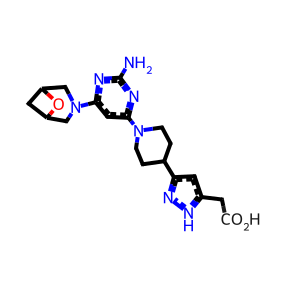 Nc1nc(N2CCC(c3cc(CC(=O)O)[nH]n3)CC2)cc(N2CC3CC(C2)O3)n1